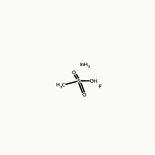 CS(=O)(=O)O.[F].[InH3]